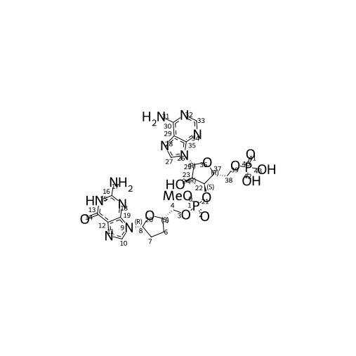 COP(=O)(OC[C@@H]1CC[C@H](n2cnc3c(=O)[nH]c(N)nc32)O1)O[C@H]1[C@@H](O)[C@H](n2cnc3c(N)ncnc32)O[C@@H]1COP(=O)(O)O